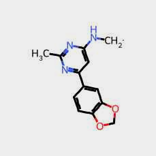 [CH2]Nc1cc(-c2ccc3c(c2)OCO3)nc(C)n1